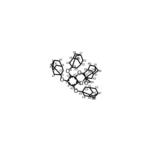 c1c(OC23CC4CC(CC(C4)C2)C3)c(OC23CC4CC(CC(C4)C2)C3)c(OCC2CO2)c(OC23CC4CC(CC(C4)C2)C3)c1OC12CC3CC(CC(C3)C1)C2